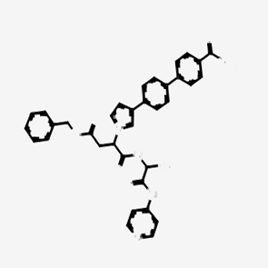 CC(C)(C)C(NC(=O)C(CC(=O)OCc1ccccc1)n1ccc(-c2ccc(-c3ccc(C(N)=O)cc3)cc2)c1)C(=O)Nc1ccncc1